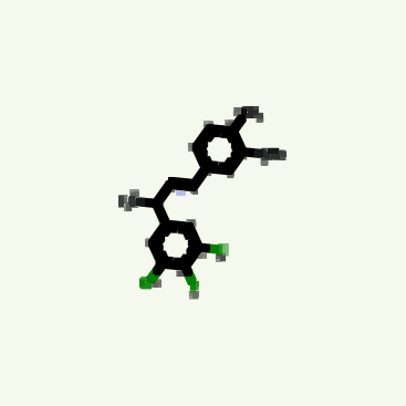 CSc1cc(/C=C/C(c2cc(Cl)c(F)c(Cl)c2)C(F)(F)F)ccc1C